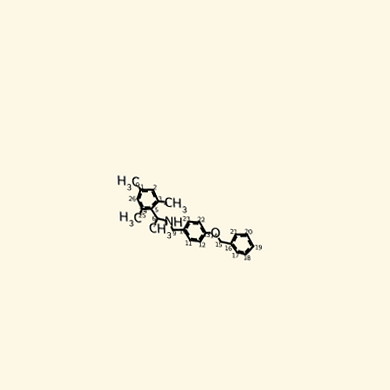 Cc1cc(C)c(C(C)NCc2ccc(OCc3ccccc3)cc2)c(C)c1